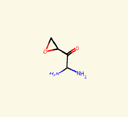 NC(N)C(=O)C1CO1